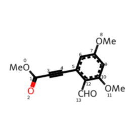 COC(=O)C#Cc1cc(OC)cc(OC)c1C=O